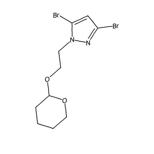 Brc1cc(Br)n(CCOC2CCCCO2)n1